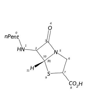 CCCCCNC1C(=O)N2CC(C(=O)O)S[C@H]12